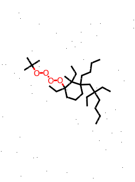 CCCCC(CC)(CC)CC1(CCCC)CCCC(CC)(OOOOC(C)(C)C)C1(C)CC